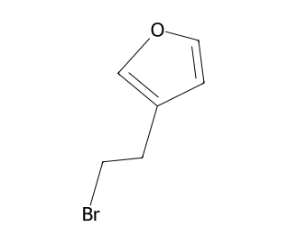 BrCCc1ccoc1